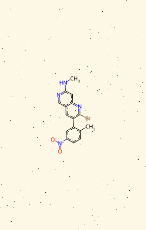 CNc1cc2nc(Br)c(-c3cc([N+](=O)[O-])ccc3C)cc2cn1